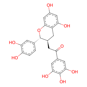 O=C(C[C@@H]1Cc2c(O)cc(O)cc2O[C@H]1c1ccc(O)c(O)c1)c1cc(O)c(O)c(O)c1